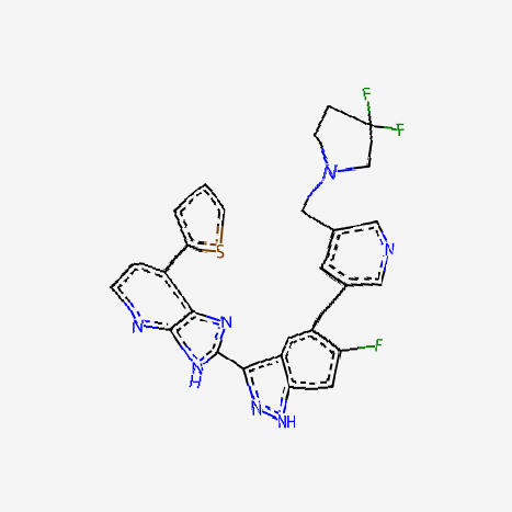 Fc1cc2[nH]nc(-c3nc4c(-c5cccs5)ccnc4[nH]3)c2cc1-c1cncc(CN2CCC(F)(F)C2)c1